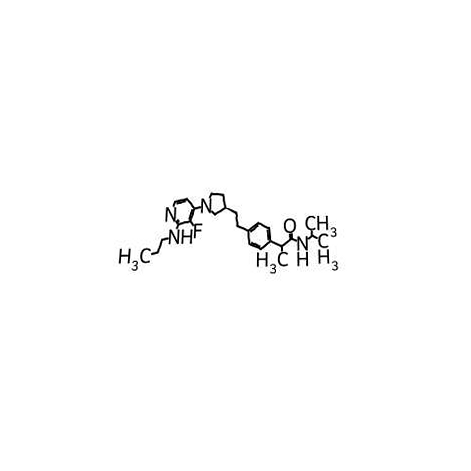 CCCNc1nccc(N2CC[C@@H](CCc3ccc(C(C)C(=O)NC(C)C)cc3)C2)c1F